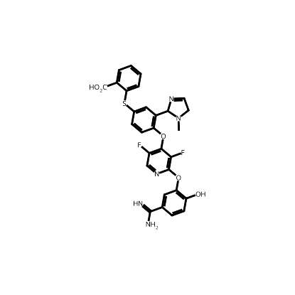 CN1CC=NC1c1cc(Sc2ccccc2C(=O)O)ccc1Oc1c(F)cnc(Oc2cc(C(=N)N)ccc2O)c1F